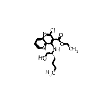 CCCC[C@H](CO)Nc1c(C(=O)OCC)c(Cl)nc2cccnc12